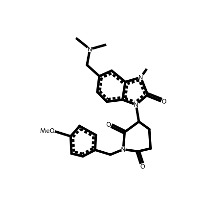 COc1ccc(CN2C(=O)CCC(n3c(=O)n(C)c4cc(CN(C)C)ccc43)C2=O)cc1